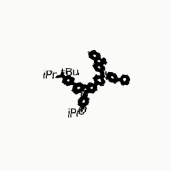 CC(C)CC(c1ccc(-c2ccc3c(c2)c2cc(C4=CCC(N(c5ccc(C6=CC=CCC6)cc5)c5ccc6c(c5)C(C)(C)c5ccccc5-6)C=C4)ccc2n3-c2ccc(OC(C)C)cc2)cc1)C(C)(C)C